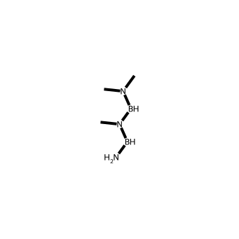 CN(C)BN(C)BN